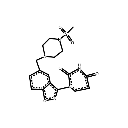 CS(=O)(=O)N1CCN(Cc2ccc3onc(-n4ccc(=O)[nH]c4=O)c3c2)CC1